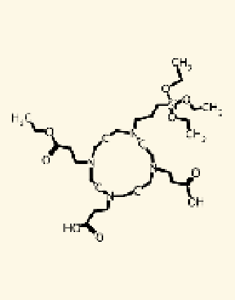 CCOC(=O)CCN1CCCN(CCC[Si](OCC)(OCC)OCC)CCN(CCC(=O)O)CCCN(CCC(=O)O)CC1